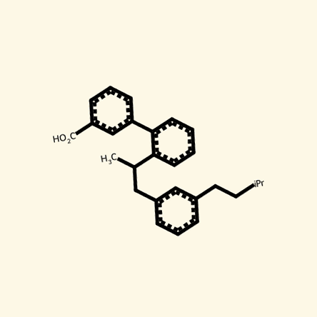 CC(C)CCc1cccc(CC(C)c2ccccc2-c2cccc(C(=O)O)c2)c1